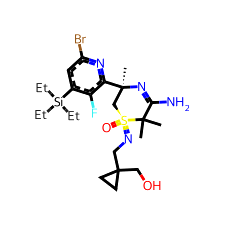 CC[Si](CC)(CC)c1cc(Br)nc([C@]2(C)C[S@](=O)(=NCC3(CO)CC3)C(C)(C)C(N)=N2)c1F